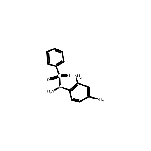 Nc1ccc(N(N)S(=O)(=O)c2ccccc2)c(N)c1